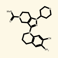 Bc1cc2c(cc1C#N)N(c1nn(C3CCOCC3)c3c1CN(C(=O)NC)CC3)CCC2